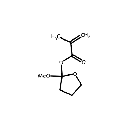 C=C(C)C(=O)OC1(OC)CCCO1